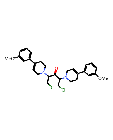 COc1cccc(C2=CCN(C(CCl)C(=O)C(CCl)N3CC=C(c4cccc(OC)c4)CC3)CC2)c1